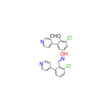 O=Cc1c(Cl)cccc1-c1ccncc1.ON=Cc1c(Cl)cccc1-c1ccncc1